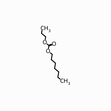 CCCCCCCOC(=O)OCCC